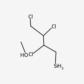 CO.[SiH3]CC(Cl)C(Cl)CCl